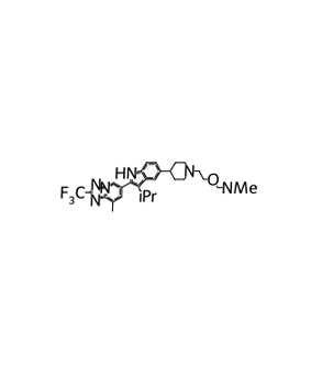 CNCOCCN1CCC(c2ccc3[nH]c(-c4cc(C)c5nc(C(F)(F)F)nn5c4)c(C(C)C)c3c2)CC1